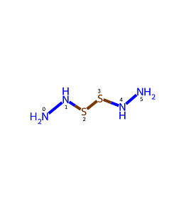 NNSSNN